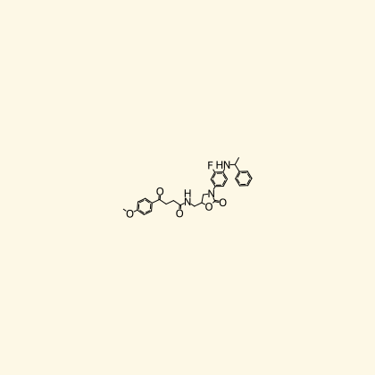 COc1ccc(C(=O)CCC(=O)NCC2CN(c3ccc(NC(C)c4ccccc4)c(F)c3)C(=O)O2)cc1